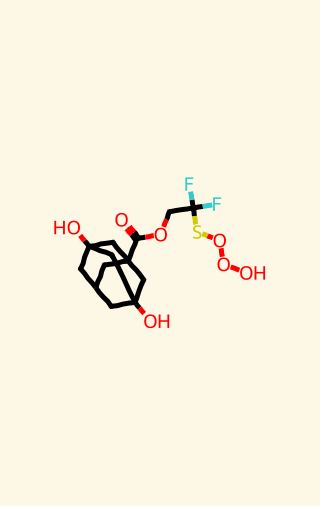 O=C(OCC(F)(F)SOOO)C12CC3CC(O)(CC(O)(C3)C1)C2